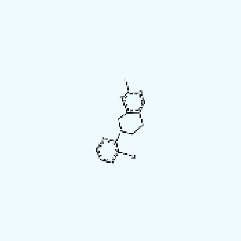 Clc1ncc2c(n1)CN(c1ncccc1Cl)CC2